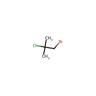 CC(C)(Cl)CBr